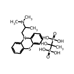 CC(CN1c2ccccc2Sc2ccccc21)N(C)C.CC(O)(P(=O)(O)O)P(=O)(O)O